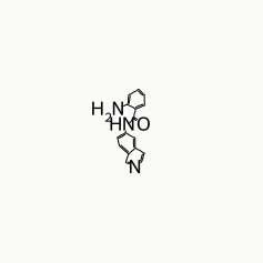 Nc1ccccc1C(=O)Nc1ccc2cnccc2c1